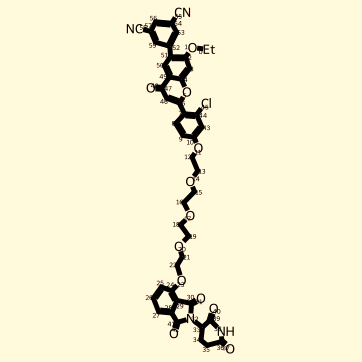 CCOc1cc2oc(-c3ccc(OCCOCCOCCOCCOc4cccc5c4C(=O)N(C4CCC(=O)NC4=O)C5=O)cc3Cl)cc(=O)c2cc1-c1cc(C#N)cc(C#N)c1